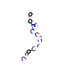 Nc1ncnc2c1c(-c1ccc(Oc3ccccc3)cc1)nn2[C@@H]1CCCN(C2CCN(C(=O)N3CCN(CCCN4CCC(c5ccc6c(c5)CN(C5CCC(=O)NC5=O)C6=O)CC4)CC3)CC2)C1